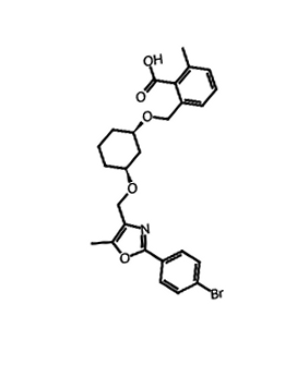 Cc1cccc(CO[C@@H]2CCC[C@H](OCc3nc(-c4ccc(Br)cc4)oc3C)C2)c1C(=O)O